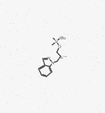 C[C@@H](CO[Si](C)(C)C(C)(C)C)Cn1ncc2ccccc21